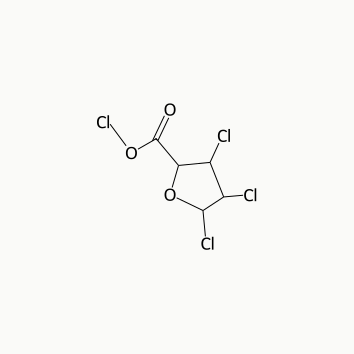 O=C(OCl)C1OC(Cl)C(Cl)C1Cl